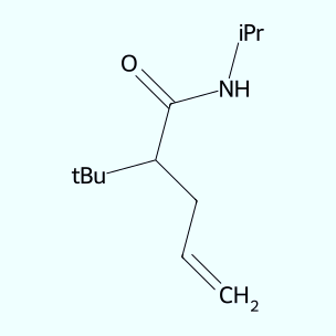 C=CCC(C(=O)NC(C)C)C(C)(C)C